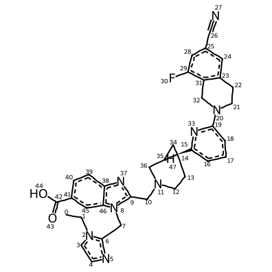 CCn1ccnc1Cn1c(CN2CC[C@@]3(c4cccc(N5CCc6cc(C#N)cc(F)c6C5)n4)C[C@H]3C2)nc2ccc(C(=O)O)cc21